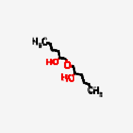 CCCCC(O)COCC(O)CCCC